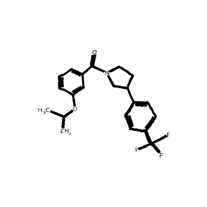 CC(C)Oc1cccc(C(=O)N2CC[C](c3ccc(C(F)(F)F)cc3)C2)c1